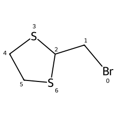 BrCC1SCCS1